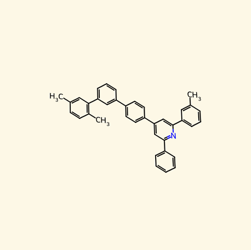 Cc1cccc(-c2cc(-c3ccc(-c4cccc(-c5cc(C)ccc5C)c4)cc3)cc(-c3ccccc3)n2)c1